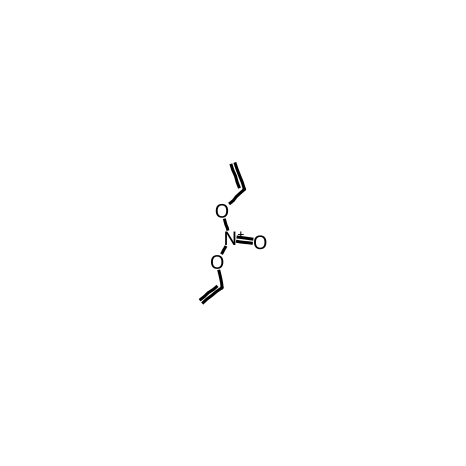 C=CO[N+](=O)OC=C